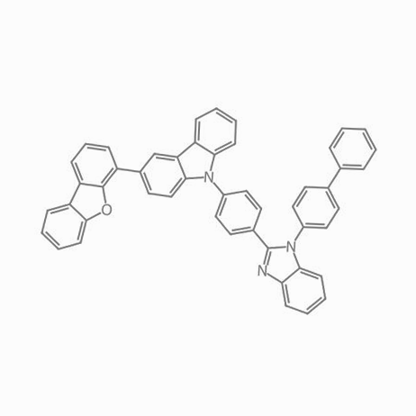 c1ccc(-c2ccc(-n3c(-c4ccc(-n5c6ccccc6c6cc(-c7cccc8c7oc7ccccc78)ccc65)cc4)nc4ccccc43)cc2)cc1